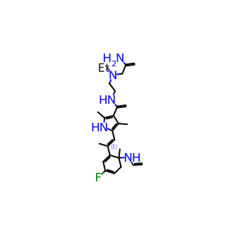 C=CNC1(C)CC=C(F)C=C1/C(C)=C/c1[nH]c(C)c(C(=C)NCCN(CC)CC(=C)N)c1C